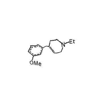 CCN1CC=C(c2cccc(OC)c2)CC1